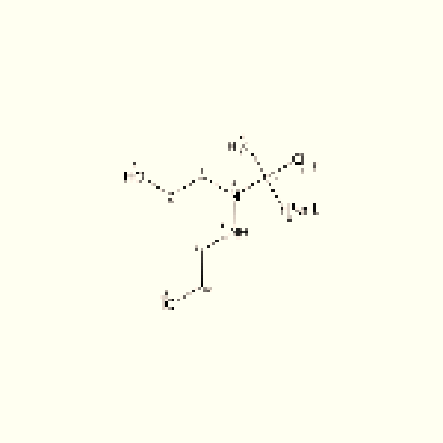 CCCCCC(C)(C)N(CCO)NCCO